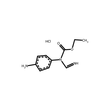 CCOC(=O)N(C=N)c1ccc(N)cc1.Cl